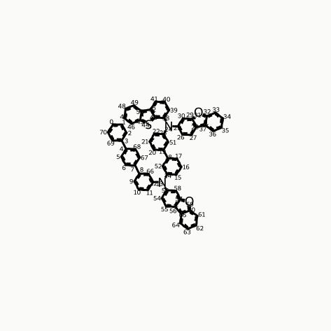 c1ccc(-c2ccc(-c3cccc(N(c4cccc(-c5cccc(N(c6ccc7c(c6)oc6ccccc67)c6cccc7c6sc6ccccc67)c5)c4)c4ccc5c(c4)oc4ccccc45)c3)cc2)cc1